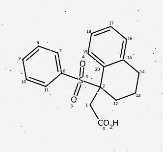 O=C(O)CC1(S(=O)(=O)c2ccccc2)CCCc2ccccc21